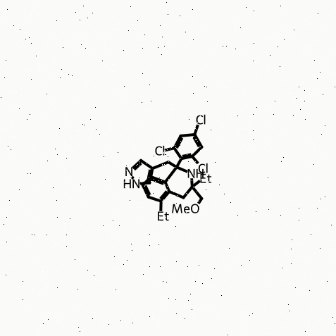 CCc1cccc2c1CC(CC)(COC)NC2(Cc1cn[nH]c1)c1c(Cl)cc(Cl)cc1Cl